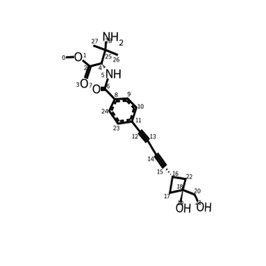 COC(=O)[C@@H](NC(=O)c1ccc(C#CC#C[C@H]2C[C@@](O)(CO)C2)cc1)C(C)(C)N